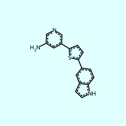 Nc1cncc(-c2ccc(-c3ccc4[nH]ccc4c3)s2)c1